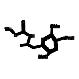 CCCCCc1cc(OC)c(CC(C)NC(=O)OC(C)(C)C)nc1OC